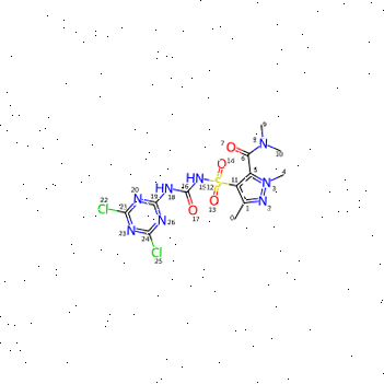 Cc1nn(C)c(C(=O)N(C)C)c1S(=O)(=O)NC(=O)Nc1nc(Cl)nc(Cl)n1